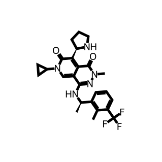 Cc1c([C@@H](C)Nc2nn(C)c(=O)c3c([C@H]4CCCN4)c(=O)n(C4CC4)cc23)cccc1C(F)(F)F